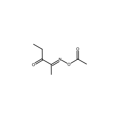 CCC(=O)C(C)=NOC(C)=O